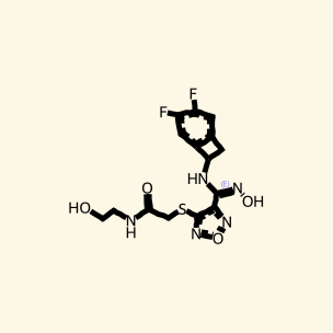 O=C(CSc1nonc1/C(=N\O)NC1Cc2cc(F)c(F)cc21)NCCO